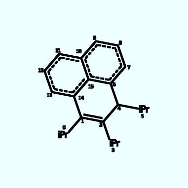 CC(C)C1=C(C(C)C)C(C(C)C)c2cccc3cccc1c23